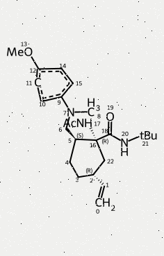 C=C[C@@H]1CC[C@@H](CN(C)c2ccc(OC)cc2)[C@@](NC(C)=O)(C(=O)NC(C)(C)C)C1